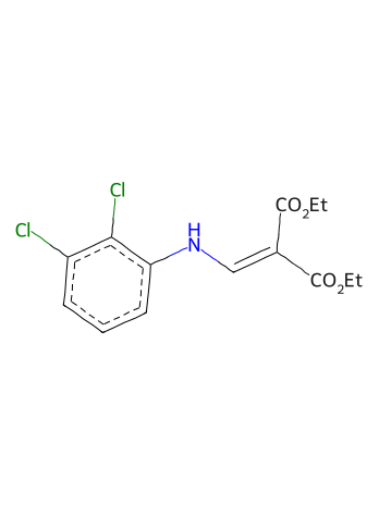 CCOC(=O)C(=CNc1cccc(Cl)c1Cl)C(=O)OCC